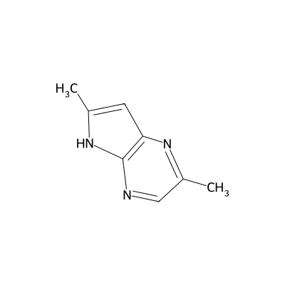 Cc1cnc2[nH]c(C)cc2n1